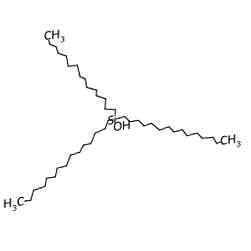 CCCCCCCCCCCCCCC[Si](O)(CCCCCCCCCCCCCCC)CCCCCCCCCCCCCCC